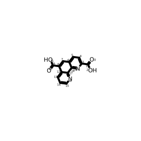 O=C(O)c1ccc2cc(C(=O)O)c3cccnc3c2n1